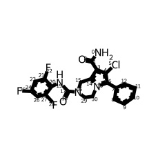 NC(=O)c1c(Cl)c(-c2ccccc2)n2c1CN(C(=O)Nc1c(F)cc(F)cc1F)CC2